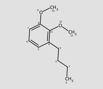 CCC[CH]c1cccc(OC)c1OC